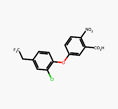 O=C(O)c1cc(Oc2ccc(CC(F)(F)F)cc2Cl)ccc1[N+](=O)[O-]